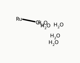 O.O.O.O.O.[Cl][Ru]